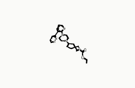 CCOC(=O)N1CC2(CCC(N3CCN(c4ncccc4-c4cccnn4)CC3)C2)C1